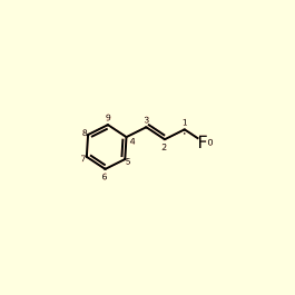 F[CH]/C=C/c1ccccc1